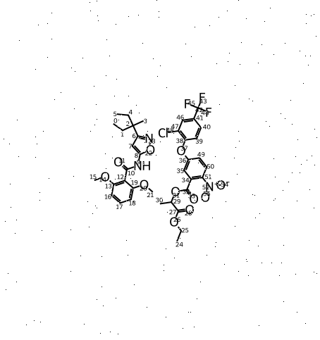 CCC(C)(CC)c1cc(NC(=O)c2c(OC)cccc2OC)on1.CCOC(=O)C(C)OC(=O)c1cc(Oc2ccc(C(F)(F)F)cc2Cl)ccc1[N+](=O)[O-]